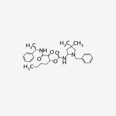 CCCCC(OC(=O)NC1CC(C)(C)CN1Cc1ccccc1)C(=O)C(=O)N[C@H](C)c1ccccc1